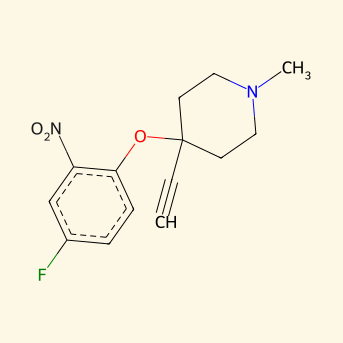 C#CC1(Oc2ccc(F)cc2[N+](=O)[O-])CCN(C)CC1